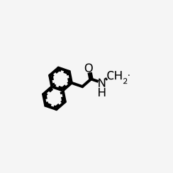 [CH2]NC(=O)Cc1cccc2ccccc12